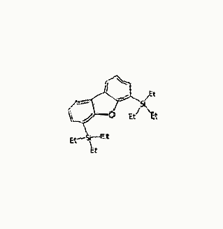 CC[Si](CC)(CC)c1cccc2c1oc1c([Si](CC)(CC)CC)cccc12